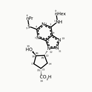 CCCCCCNc1nc(SCCC)nc2c1nnn2[C@@H]1C[C@H](C(=O)O)C[C@H]1O